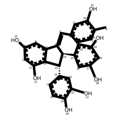 Cc1ccc(/C=C2/c3cc(O)cc(O)c3[C@@H](c3ccc(O)c(O)c3)[C@@H]2c2cc(O)cc(O)c2)cc1O